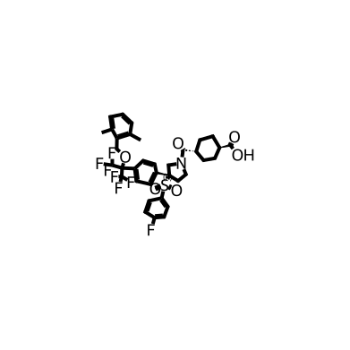 Cc1cccc(C)c1COC(c1ccc([C@]2(S(=O)(=O)c3ccc(F)cc3)CCN(C(=O)[C@H]3CC[C@H](C(=O)O)CC3)C2)cc1)(C(F)(F)F)C(F)(F)F